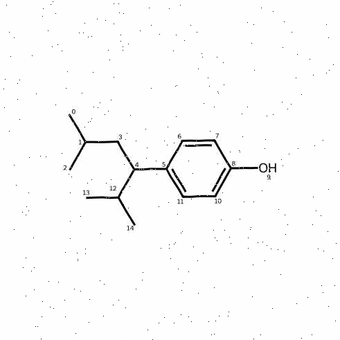 CC(C)CC(c1ccc(O)cc1)C(C)C